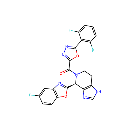 O=C(c1nnc(-c2c(F)cccc2F)o1)N1CCc2[nH]cnc2[C@H]1c1nc2cc(F)ccc2o1